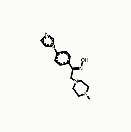 CN1CCN(CC(=NO)c2ccc(-n3ccnc3)cc2)CC1